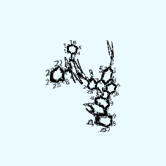 N#Cc1cccc(-c2cc(-c3nc(-c4ccccc4)nc(-c4ccccc4)n3)ccc2-n2c3ccccc3c3cc4c(cc32)sc2ccccc24)c1